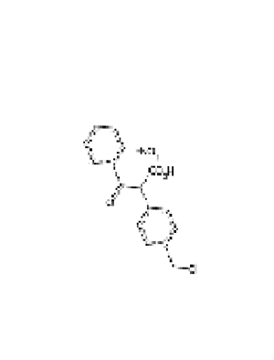 O=C(O)C(C(=O)c1[c]cccc1[N+](=O)[O-])c1ccc(CCl)cc1